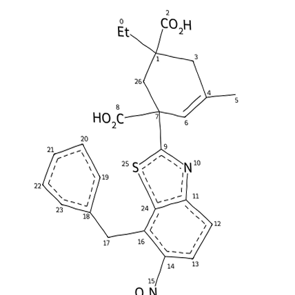 CCC1(C(=O)O)CC(C)=CC(C(=O)O)(c2nc3ccc([N+](=O)[O-])c(Cc4ccccc4)c3s2)C1